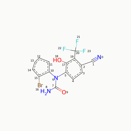 N#Cc1ccc(N(C(N)=O)c2ccccc2Br)c(O)c1C(F)(F)F